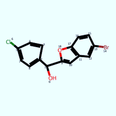 OC(c1ccc(Cl)cc1)c1cc2cc(Br)ccc2o1